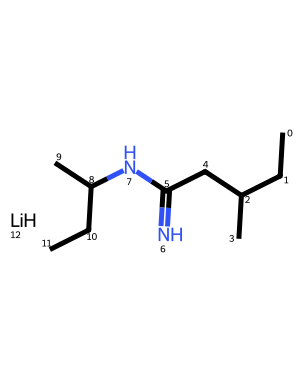 CCC(C)CC(=N)NC(C)CC.[LiH]